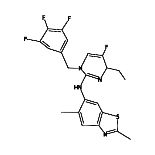 CCC1N=C(Nc2cc3sc(C)nc3cc2C)N(Cc2cc(F)c(F)c(F)c2)C=C1F